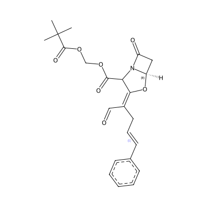 CC(C)(C)C(=O)OCOC(=O)C1C(=C(C=O)C/C=C/c2ccccc2)O[C@@H]2CC(=O)N12